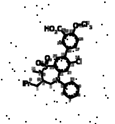 CC(C)C[C@@H]1CN(c2ccccc2)c2cc(Cl)c(-c3ccc(OC(F)(F)F)c(C(=O)O)c3)cc2S(=O)(=O)N1C